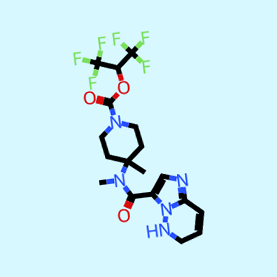 CN(C(=O)c1cnc2n1NCC=C2)C1(C)CCN(C(=O)OC(C(F)(F)F)C(F)(F)F)CC1